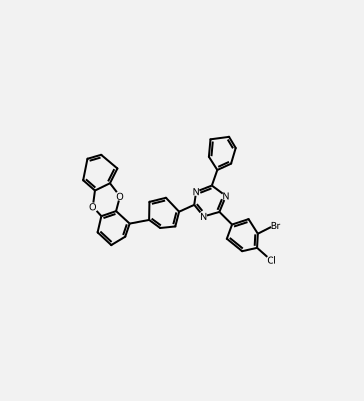 Clc1ccc(-c2nc(-c3ccccc3)nc(-c3ccc(-c4cccc5c4Oc4ccccc4O5)cc3)n2)cc1Br